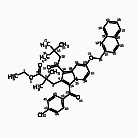 CCOC(=O)C(C)(C)Cc1c(C(=O)CC(C)(C)C)c2cc(OCc3ccc4ccccc4n3)ccn2c1C(=O)c1ccc(Cl)cc1